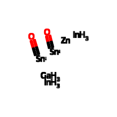 [GaH3].[InH3].[InH3].[O]=[Sn].[O]=[Sn].[Zn]